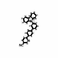 N#Cc1ccc(-c2ccc(-c3cccc(-n4c5ccccc5c5ccccc54)c3)cc2)nc1